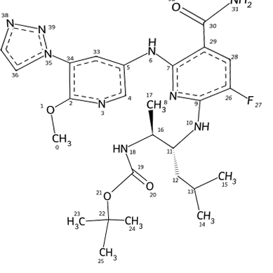 COc1ncc(Nc2nc(N[C@H](CC(C)C)[C@H](C)NC(=O)OC(C)(C)C)c(F)cc2C(N)=O)cc1-n1ccnn1